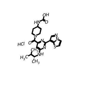 CC(C)[C@@H](C)Nc1cc(C(=O)N2CCC(NC(=O)O)CC2)nc(-c2cnn3ccsc23)n1.Cl